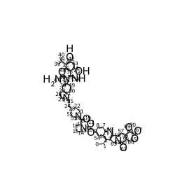 CCc1c2c(nc3ccc(OC(=O)N4CCCC4C(=O)N4CCC(CCn5ccc6cc(N(C(=N)c7cc(C(C)C)c(O)cc7O)C(N)=O)ccc65)CC4)cc13)-c1cc3c(c(=O)n1C2)COC(=O)C3OC